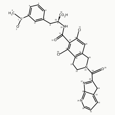 C[S+]([O-])c1cccc(C[C@H](NC(=O)c2c(Cl)cc3c(c2Cl)CCN(C(=O)C2=Nc4ncccc4C2)C3)C(=O)O)c1